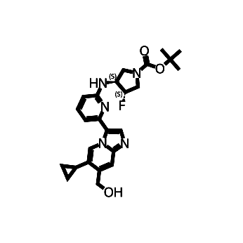 CC(C)(C)OC(=O)N1C[C@H](Nc2cccc(-c3cnc4cc(CO)c(C5CC5)cn34)n2)[C@@H](F)C1